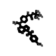 Cc1ccc(S(=O)(=O)n2ccc3c(N(C)N4CCC(NC(=O)OC(C)(C)C)CC4)ncnc32)cc1